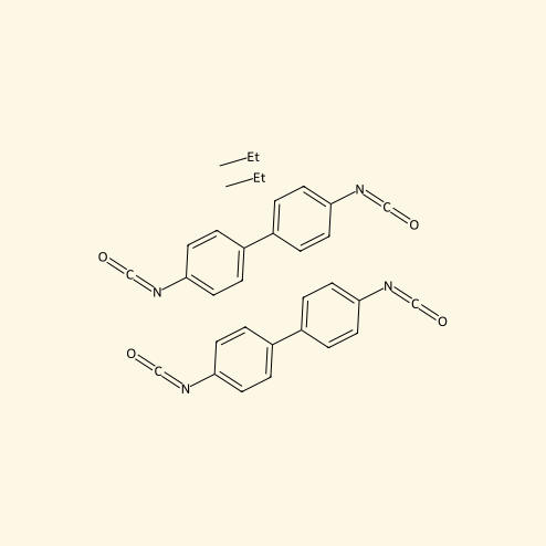 CCC.CCC.O=C=Nc1ccc(-c2ccc(N=C=O)cc2)cc1.O=C=Nc1ccc(-c2ccc(N=C=O)cc2)cc1